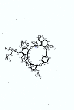 C=CC1=C2/C=C(\C)Oc3c(OC)c(OC)c(COC(C)COC)c4c3[C@H](Cc3ccc(OC)c(c3)Oc3ccc(cc3)C[C@@H]2N(C)CC1)N(C)CC4